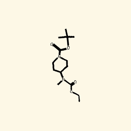 CCOC(=O)N(C)C1CCN(C(=O)OC(C)(C)C)CC1